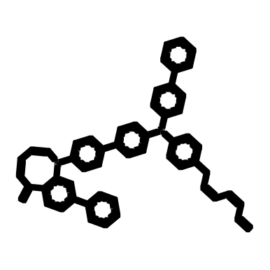 C=C/C=C\C=C/Cc1ccc(N(c2ccc(-c3ccccc3)cc2)c2ccc(-c3ccc(N4/C=C\C=C/C(=C)c5ccc(-c6ccccc6)cc54)cc3)cc2)cc1